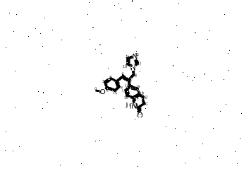 COc1ccc(/C=C(/Cn2ccnc2)c2ccc3c(c2)CCC(=O)N3)cc1